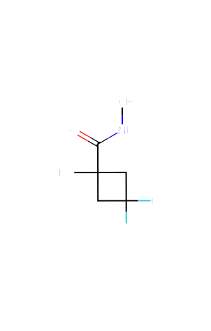 CNC(=O)C1(C)CC(F)(F)C1